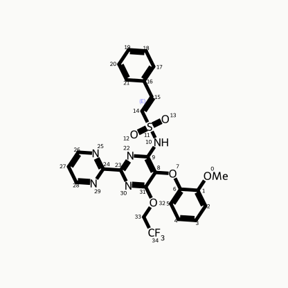 COc1ccccc1Oc1c(NS(=O)(=O)/C=C/c2ccccc2)nc(-c2ncccn2)nc1OCC(F)(F)F